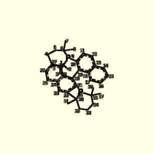 CC1(C)CCCC(C)(C)P1c1ccc2ccccc2c1-c1c2c(cc3ccccc13)C1(C)CCCC(C)(C)P21